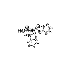 O=C(CC1SC2=C(CCCC2)N1CP(=O)(O)O)Sc1ccccc1